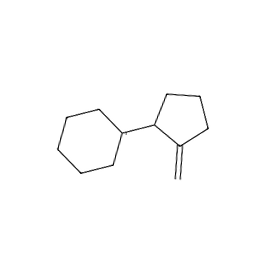 C=C1CCCC1[C]1CCCCC1